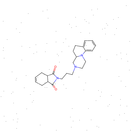 O=C1C2CC=CCC2C(=O)N1CCCN1CCN2c3ccccc3CCC2C1